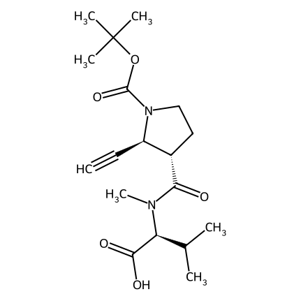 C#C[C@@H]1[C@@H](C(=O)N(C)[C@H](C(=O)O)C(C)C)CCN1C(=O)OC(C)(C)C